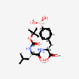 CC(C)C[C@H](NC(=O)OC(C)(C)C)C(=O)N[C@@H](Cc1ccc(B(O)O)cc1)C(=O)O